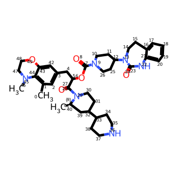 Cc1cc(CC(OC(=O)N2CCC(N3CCc4ccccc4NC3=O)CC2)C(=O)N2CCC(C3CCNCC3)C[C@H]2C)cc2c1N(C)CCO2